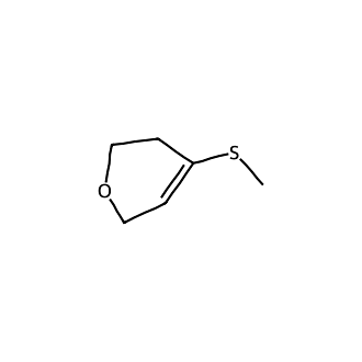 CSC1=CCOCC1